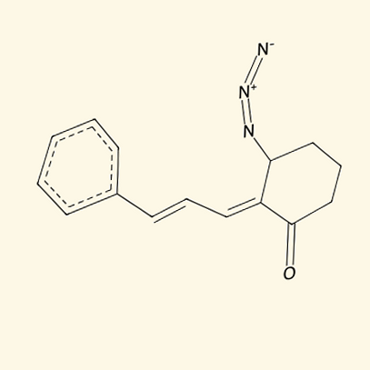 [N-]=[N+]=NC1CCCC(=O)C1=CC=Cc1ccccc1